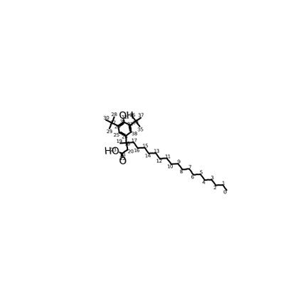 CCCCCCCCCCCCCCCCCCC(C)(CC(=O)O)c1cc(C(C)(C)C)c(O)c(C(C)(C)C)c1